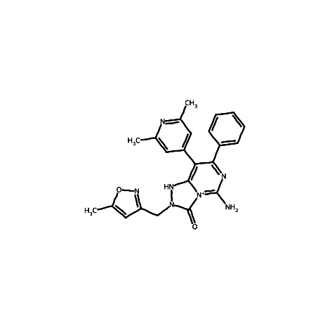 Cc1cc(-c2c(-c3ccccc3)nc(N)[n+]3c(=O)n(Cc4cc(C)on4)[nH]c23)cc(C)n1